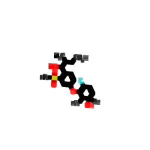 CCCC1C(Oc2ccc(C(O)C(C)CC(=O)O)c(S(=O)(=O)CCC)c2)=C(F)C=CC1(O)C(C)=O